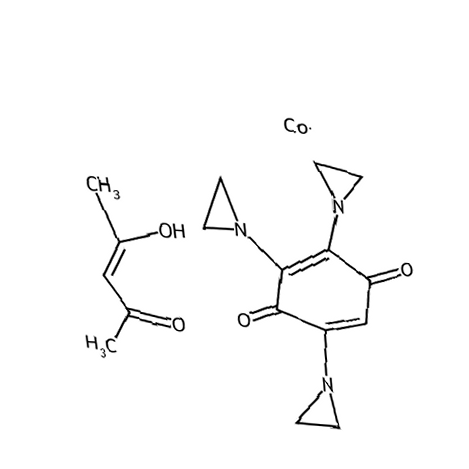 CC(=O)/C=C(/C)O.O=C1C=C(N2CC2)C(=O)C(N2CC2)=C1N1CC1.[Co]